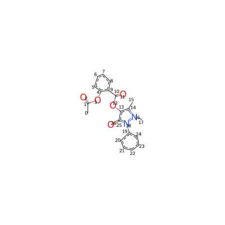 CC(=O)Oc1ccccc1C(=O)Oc1c(C)n(C)n(-c2ccccc2)c1=O